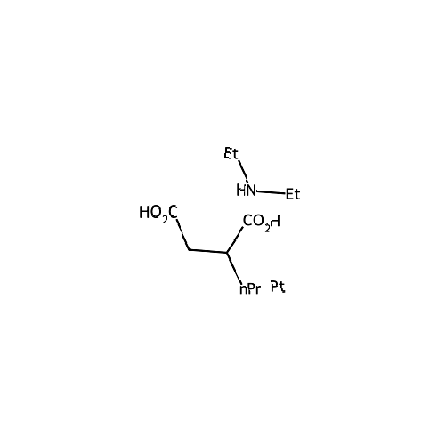 CCCC(CC(=O)O)C(=O)O.CCNCC.[Pt]